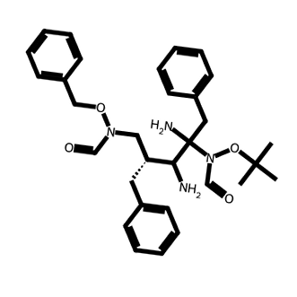 CC(C)(C)ON(C=O)C(N)(Cc1ccccc1)C(N)[C@H](Cc1ccccc1)CN(C=O)OCc1ccccc1